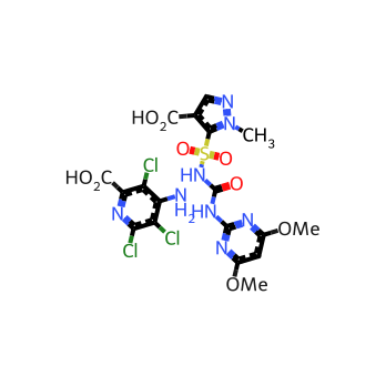 COc1cc(OC)nc(NC(=O)NS(=O)(=O)c2c(C(=O)O)cnn2C)n1.Nc1c(Cl)c(Cl)nc(C(=O)O)c1Cl